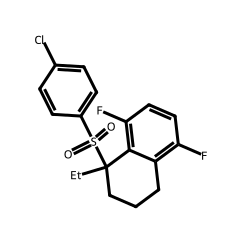 CCC1(S(=O)(=O)c2ccc(Cl)cc2)CCCc2c(F)ccc(F)c21